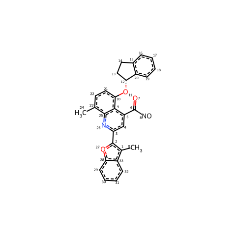 Cc1c(-c2cc(C(=O)N=O)c3c(O[C@@H]4CCc5ccccc54)ccc(C)c3n2)oc2ccccc12